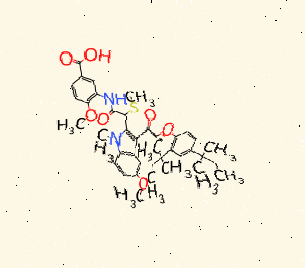 CCC(C)(C)c1ccc(OCC(=O)c2c(C(SC)C(=O)Nc3cc(C(=O)O)ccc3OC)n(C)c3ccc(OC)cc23)c(C(C)(C)CC)c1